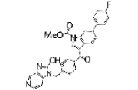 COC(=O)n1cc(C(=O)c2ccc(Cn3c(C)nc4cnccc43)cc2)c2ccc(-c3ccc(F)cc3)cc21